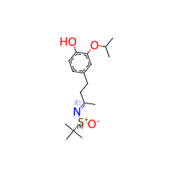 C/C(CCc1ccc(O)c(OC(C)C)c1)=N\[S@+]([O-])C(C)(C)C